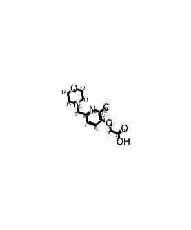 O=C(O)COc1ccc(CN2CCOCC2)nc1Cl